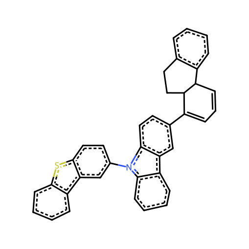 C1=CC2c3ccccc3CCC2C(c2ccc3c(c2)c2ccccc2n3-c2ccc3sc4ccccc4c3c2)=C1